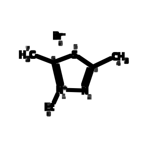 CC[n+]1nc(C)sc1C.[Br-]